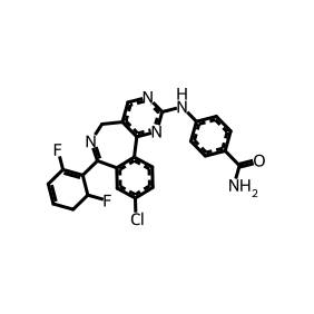 NC(=O)c1ccc(Nc2ncc3c(n2)-c2ccc(Cl)cc2C(C2=C(F)C=CCC2F)=NC3)cc1